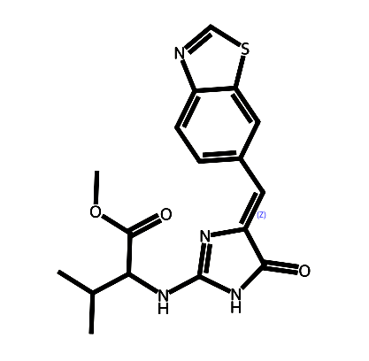 COC(=O)C(NC1=N/C(=C\c2ccc3ncsc3c2)C(=O)N1)C(C)C